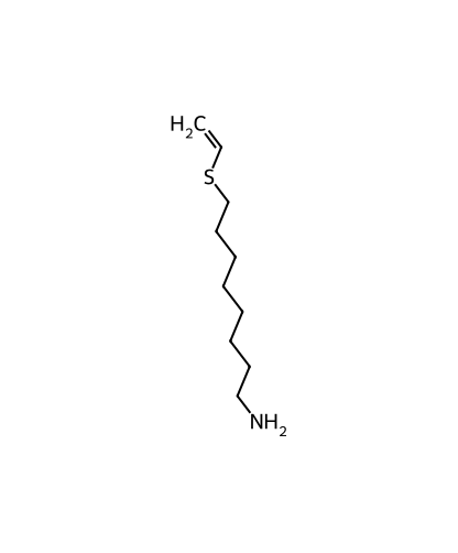 C=CSCCCCCCCCN